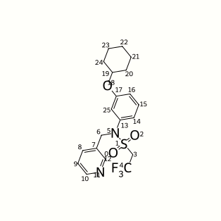 O=S(=O)(CC(F)(F)F)N(Cc1cccnc1)c1cccc(OC2CCCCC2)c1